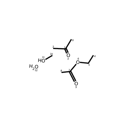 CC(C)=O.CCOC(C)=O.CO.O